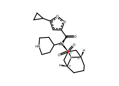 CN(C1CCNCC1)S(=O)(=O)N1[C@@H]2CCC[C@H]1C[C@H](NC(=O)c1cc(C3CC3)on1)C2